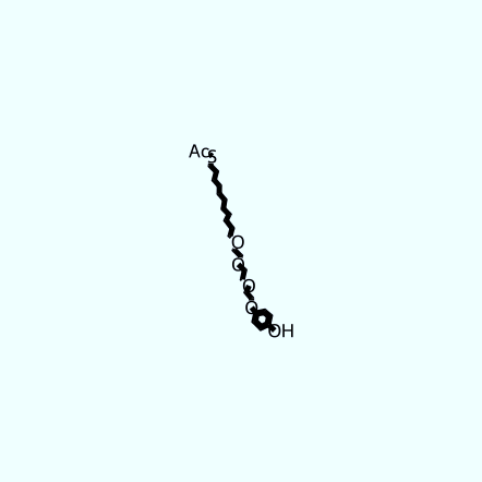 CC(=O)SCCCCCCCCCCCOCCOCCOCCOc1ccc(O)cc1